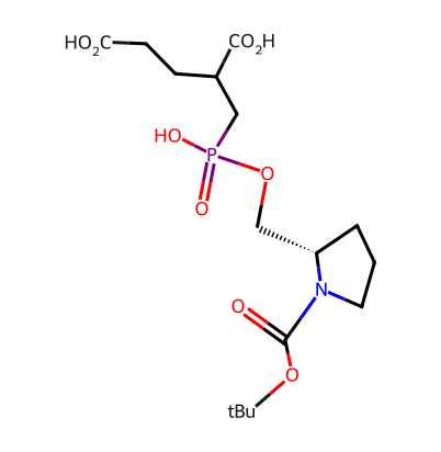 CC(C)(C)OC(=O)N1CCC[C@H]1COP(=O)(O)CC(CCC(=O)O)C(=O)O